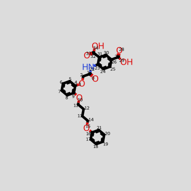 O=C(COc1ccccc1OCCCCOc1ccccc1)Nc1ccc(C(=O)O)cc1C(=O)O